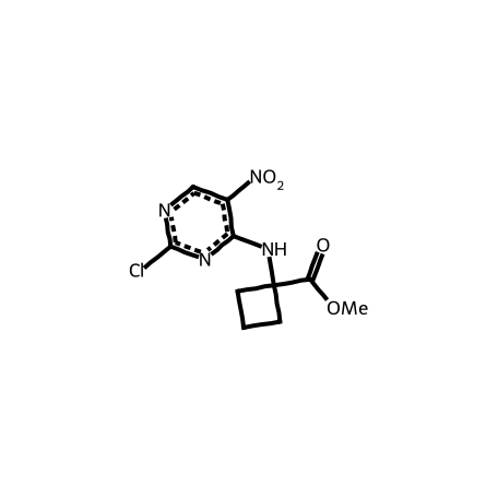 COC(=O)C1(Nc2nc(Cl)ncc2[N+](=O)[O-])CCC1